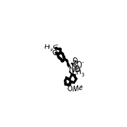 COc1cccc2c1CCC[C@H]2C[N+](C)(CCc1ccc2oc(C)cc2c1)CS(=O)(=O)[O-]